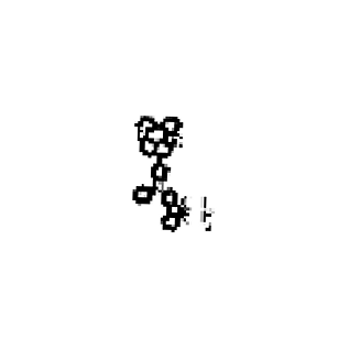 CC1(C)c2ccccc2-c2cc(N(c3ccccc3)c3ccc(-c4cc5oc6cccc(-c7cccnc7)c6c5c5ccccc45)cc3)ccc21